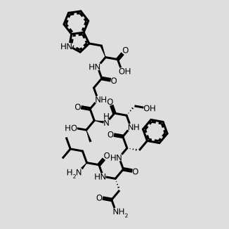 CC(C)C[C@H](N)C(=O)N[C@@H](CC(N)=O)C(=O)N[C@@H](Cc1ccccc1)C(=O)N[C@@H](CO)C(=O)N[C@H](C(=O)NCC(=O)N[C@@H](Cc1c[nH]c2ccccc12)C(=O)O)[C@@H](C)O